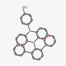 CC(C)(C)c1ccc(N2c3ccccc3N(c3c(-c4ccccc4)cccc3-c3ccccc3)c3ccccc32)cc1